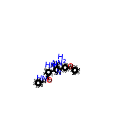 Nc1n[nH]c2c(-c3cccc(C(=O)NCc4ccccc4)c3)cnc(-c3ccc(Oc4ccccc4)cc3)c12